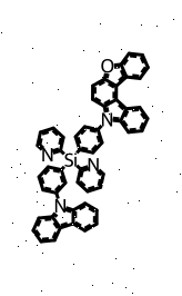 c1ccc([Si](c2ccc(-n3c4ccccc4c4c5c(ccc43)oc3ccccc35)cc2)(c2cccc(-n3c4ccccc4c4ccccc43)c2)c2ccccn2)nc1